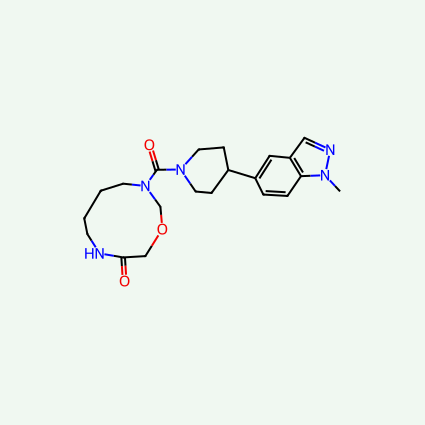 Cn1ncc2cc(C3CCN(C(=O)N4CCCCNC(=O)COC4)CC3)ccc21